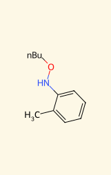 CCCCONc1ccccc1C